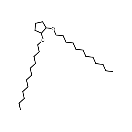 CCCCCCCCCCCCOC1CCCC1OCCCCCCCCCCCC